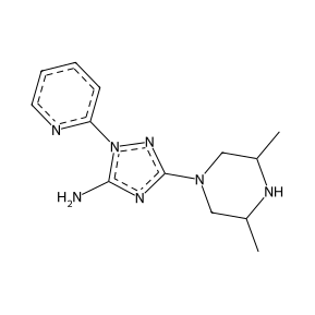 CC1CN(c2nc(N)n(-c3ccccn3)n2)CC(C)N1